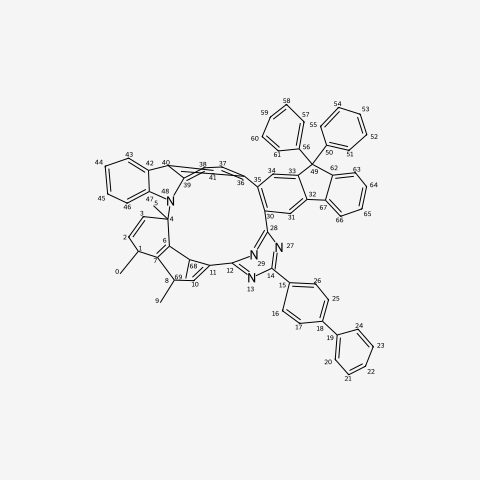 CC1C=CC2(C)C3=C1C(C)C=C(c1nc(-c4ccc(-c5ccccc5)cc4)nc(n1)-c1cc4c(cc1-c1ccc5c(c1)c1ccccc1n52)C(c1ccccc1)(c1ccccc1)c1ccccc1-4)C3C